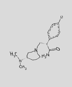 CN(C)[C@H]1CCN(C[C@@H](C(N)=O)c2ccc(Cl)cc2)C1